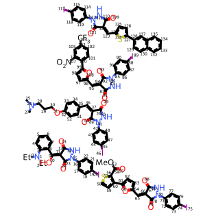 CCN(CC)c1ccccc1C(O)=C1C(=O)NN(c2ccc(I)cc2)C1=O.CN(C)CCCOc1ccc(C=C2C(=O)NN(c3ccc(I)cc3)C2=O)cc1.COC(=O)c1sccc1-c1ccc(C=C2C(=O)NN(c3ccc(I)cc3)C2=O)o1.O=C1NN(c2ccc(I)cc2)C(=O)C1=Cc1ccc(-c2ccc(C(F)(F)F)cc2[N+](=O)[O-])o1.O=C1NN(c2ccc(I)cc2)C(=O)C1=Cc1ccc(-c2ccc3ccccc3c2)s1